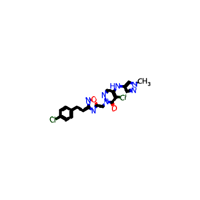 Cn1cc(Nc2cnn(Cc3nc(CCc4ccc(Cl)cc4)no3)c(=O)c2Cl)cn1